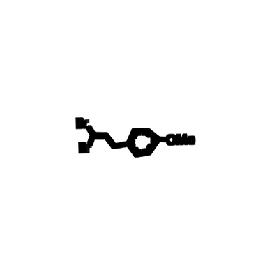 COc1ccc(CC=C(Br)Br)cc1